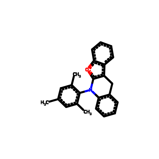 Cc1cc(C)c(N2c3ccccc3Cc3c2oc2ccccc32)c(C)c1